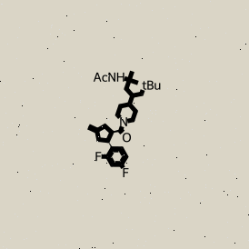 C=C1C[C@@H](C(=O)N2CCC(C(CC(C)(C)C)CC(C)(C)NC(C)=O)CC2)[C@H](c2ccc(F)cc2F)C1